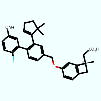 COc1ccc(F)c(-c2ccc(COc3ccc4c(c3)[C@](C)(CC(=O)O)C4)cc2C2=CCCC2(C)C)c1